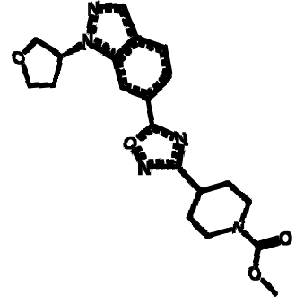 COC(=O)N1CCC(c2noc(-c3ccc4cnn([C@H]5CCOC5)c4c3)n2)CC1